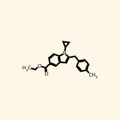 CCOC(=O)c1ccc2c(c1)cc(Cc1ccc(C)cc1)n2C1CC1